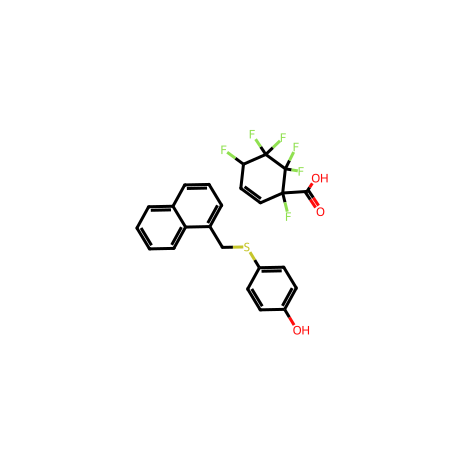 O=C(O)C1(F)C=CC(F)C(F)(F)C1(F)F.Oc1ccc(SCc2cccc3ccccc23)cc1